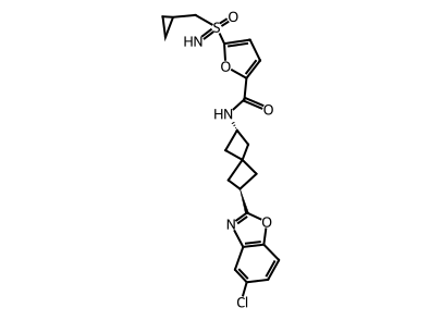 N=S(=O)(CC1CC1)c1ccc(C(=O)N[C@H]2CC3(C2)C[C@H](c2nc4cc(Cl)ccc4o2)C3)o1